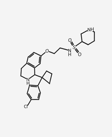 O=S(=O)(NCCOc1ccc2c(c1)C(C1(c3ccc(Cl)cc3)CCC1)NCC2)C1CCCNC1